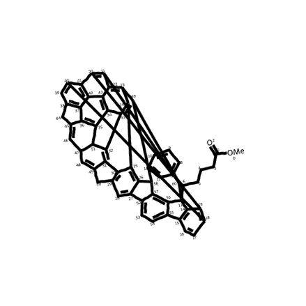 COC(=O)CCCC(c1ccccc1)C12c3c4ccc5c3-c3c6c7c8c9c%10c%11c(cc%12c%10c%10c%13c9c9c%14c%15c%16c(cc-5c3c%16c79)CC%15=CC(C=C%10C%12)C%13%14)-c3ccc-4c1c3C%11C8C62